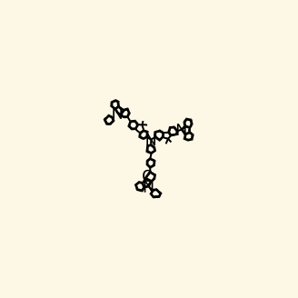 CC1(C)c2cc(-c3ccc4c5ccccc5n(-c5ccccc5)c4c3)ccc2-c2ccc(N(c3ccc(-c4ccc(-c5ccc6c(c5)c5ccccc5n6-c5ccccc5)cc4)cc3)c3ccc4c(c3)C(C)(C)c3cc(-n5c6ccccc6c6ccccc65)ccc3-4)cc21